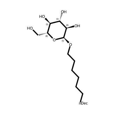 CCCCCCCCCCCCCCCCO[C@H]1O[C@H](CO)[C@@H](O)[C@H](O)[C@H]1O